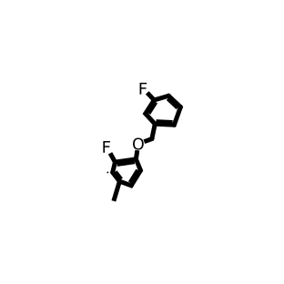 Cc1[c]c(F)c(OCc2cccc(F)c2)cc1